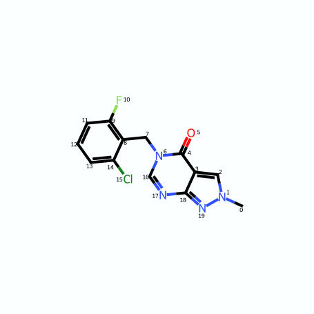 Cn1cc2c(=O)n(Cc3c(F)cccc3Cl)cnc2n1